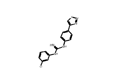 N=C(Nc1ccc(-c2csnn2)cc1)Nc1cccc(Cl)c1